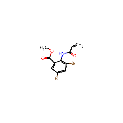 C=CC(=O)Nc1c(Br)cc(Br)cc1C(=O)OC